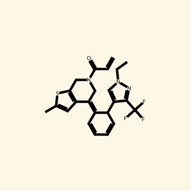 C=CC(=O)N1C/C(=C2/C=CC=CC2c2cn(CC)nc2C(F)(F)F)c2cc(C)sc2C1